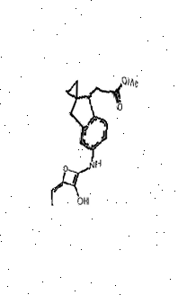 C/C=C1/OC(Nc2ccc3c(c2)CC2(CC2)C3CC(=O)OC)=C1O